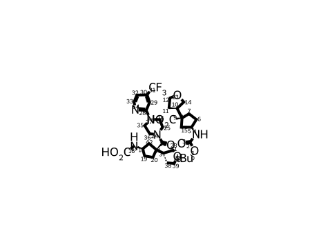 CC(C)(C)OC(=O)N[C@@H]1CC[C@@](C(=O)O)([C@H]2CCOC2)C1.O=C(O)N[C@@H]1CC[C@@](C(=O)N2CCN(c3cc(C(F)(F)F)ccn3)CC2)([C@H]2CCOC2)C1